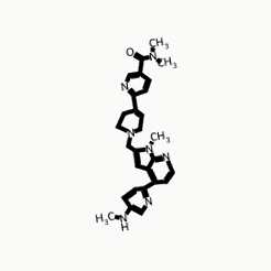 CNc1ccc(-c2ccnc3c2cc(CN2CC=C(c4ccc(C(=O)N(C)C)cn4)CC2)n3C)nc1